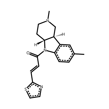 Cc1ccc2c(c1)[C@@H]1CN(C)CC[C@H]1N2C(=O)/C=C/c1nccs1